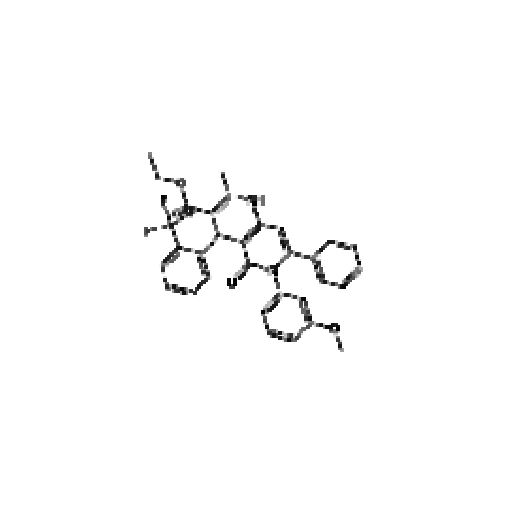 CCOC(=O)C1=C(C)Nc2cc(-c3ccccc3)n(-c3cccc(OC)c3)c(=O)c2C1c1ccccc1C(F)(F)F